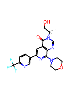 C[C@@H](CO)n1cnc2c(N3CCOCC3)nc(-c3ccc(C(F)(F)F)nc3)cc2c1=O